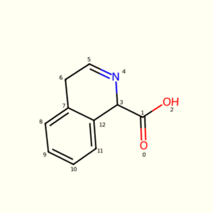 O=C(O)C1N=CCc2ccccc21